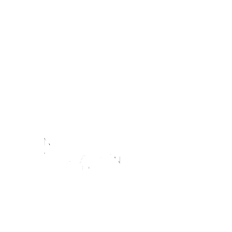 CCCCCCCCCCCN1CCC(OC(=O)OC2CCN(CCCCCCCCCCC)C(C)(C)C2(C)C)C(C)(C)C1(C)C